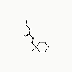 CCOC(=O)C=CC1(C)CCOCC1